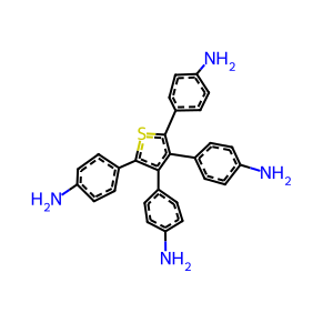 Nc1ccc(-c2sc(-c3ccc(N)cc3)c(-c3ccc(N)cc3)c2-c2ccc(N)cc2)cc1